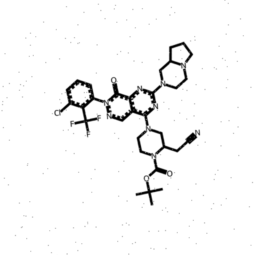 CC(C)(C)OC(=O)N1CCN(c2nc(N3CCN4CCCC4C3)nc3c(=O)n(-c4cccc(Cl)c4C(F)(F)F)ncc23)CC1CC#N